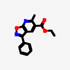 CCOC(=O)c1cc2c(-c3ccccc3)noc2nc1C